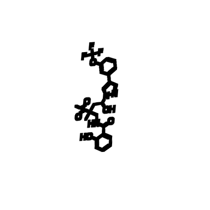 CC(CNC(=O)c1ccccc1O)(CC(O)n1cc(-c2cccc(OC(F)(F)F)c2)cn1)S(C)(=O)=O